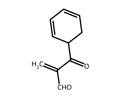 C=C(C=O)C(=O)C1C=CC=CC1